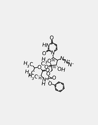 CO[C@]1(COP(=O)(N[C@H](C)C(=O)OC(C)C)Oc2ccccc2)O[C@@H](n2ccc(=O)[nH]c2=O)C(N=[N+]=[N-])[C@@H]1O